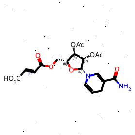 CC(=O)O[C@@H]1[C@H](OC(C)=O)[C@@H](COC(=O)/C=C/C(=O)O)O[C@H]1N1C=CCC(C(N)=O)=C1